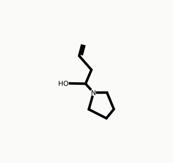 C=CCC(O)N1CCCC1